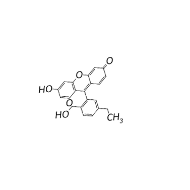 CCc1ccc(C(=O)O)c(-c2c3ccc(=O)cc-3oc3cc(O)ccc23)c1